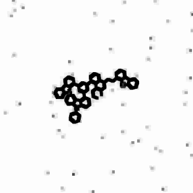 C/C=C\c1c(C)cc(CCc2cccc3c2oc2ccccc23)c2cccc(-c3cc(-c4cccc5c4sc4ccccc45)cc(-c4cccc5c4c4ccccc4n5-c4ccccc4)c3)c12